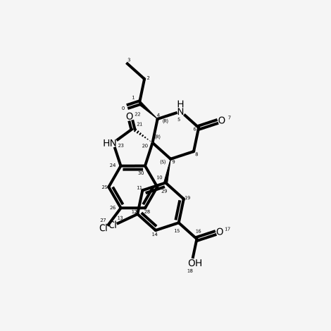 C=C(CC)[C@H]1NC(=O)C[C@@H](c2cc(Cl)cc(C(=O)O)c2)[C@]12C(=O)Nc1cc(Cl)ccc12